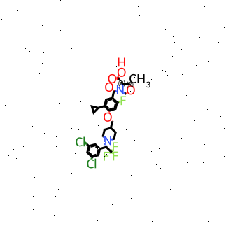 C[C@H]1OCN(C(=O)c2cc(C3CC3)c(OCC3CCN(C(c4cc(Cl)cc(Cl)c4)C(F)(F)F)CC3)cc2F)[C@H]1C(=O)O